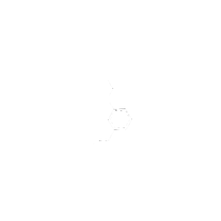 CCOc1cc[c]c(CC)c1